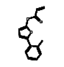 C=CC(=O)Oc1ccc(-c2ccccc2C)o1